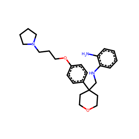 Nc1ccccc1NCC1(c2ccc(OCCCN3CCCC3)cc2)CCOCC1